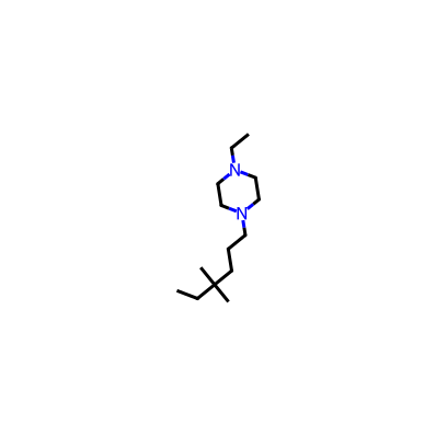 CCN1CCN(CCCC(C)(C)CC)CC1